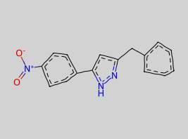 O=[N+]([O-])c1ccc(-c2cc(Cc3ccccc3)n[nH]2)cc1